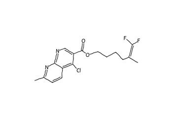 CC(CCCCOC(=O)c1cnc2nc(C)ccc2c1Cl)=C(F)F